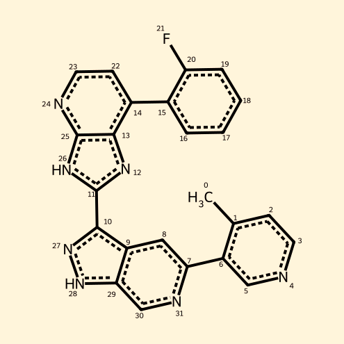 Cc1ccncc1-c1cc2c(-c3nc4c(-c5ccccc5F)ccnc4[nH]3)n[nH]c2cn1